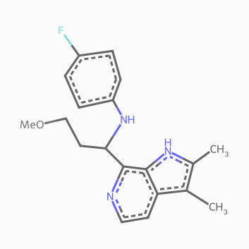 COCCC(Nc1ccc(F)cc1)c1nccc2c(C)c(C)[nH]c12